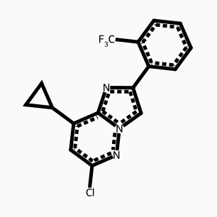 FC(F)(F)c1ccccc1-c1cn2nc(Cl)cc(C3CC3)c2n1